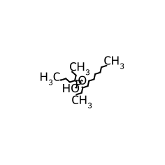 CCCCCCCCC(CCC)P(=O)(O)C(CCC)CCCC